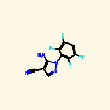 N#Cc1cnn(-c2c(F)c(F)cc(F)c2F)c1N